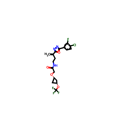 C=C(CCNC(=O)CO[C@H]1C[C@@H](OC(F)(F)F)C1)c1nnc(-c2ccc(Cl)c(F)c2)o1